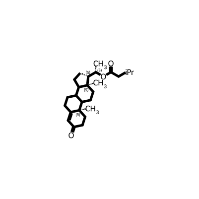 CC(C)CC(=O)O[C@@H](C)[C@H]1CCC2C3CCC4=CC(=O)CC[C@]4(C)C3CC[C@@]21C